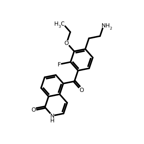 CCOc1c(CCN)ccc(C(=O)c2cccc3c(=O)[nH]ccc23)c1F